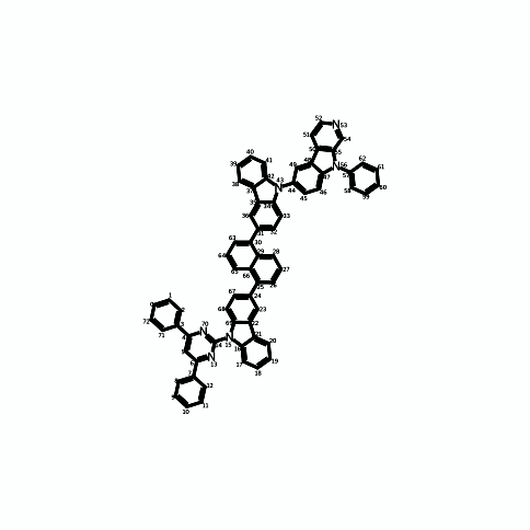 c1ccc(-c2cc(-c3ccccc3)nc(-n3c4ccccc4c4cc(-c5cccc6c(-c7ccc8c(c7)c7ccccc7n8-c7ccc8c(c7)c7ccncc7n8-c7ccccc7)cccc56)ccc43)n2)cc1